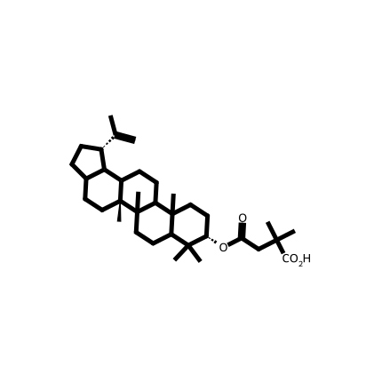 C=C(C)[C@H]1CCC2CC[C@]3(C)C(CCC4C5(C)CC[C@H](OC(=O)CC(C)(C)C(=O)O)C(C)(C)C5CCC43C)C21